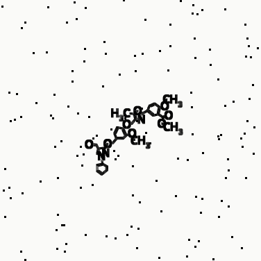 COC(=O)c1cc(-c2nc(COc3ccc(COc4nn(-c5ccccc5)cc4C=O)cc3OC)c(C)o2)ccc1OC